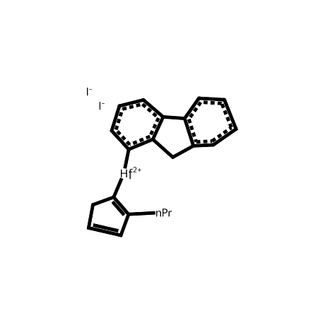 CCCC1=[C]([Hf+2][c]2cccc3c2Cc2ccccc2-3)CC=C1.[I-].[I-]